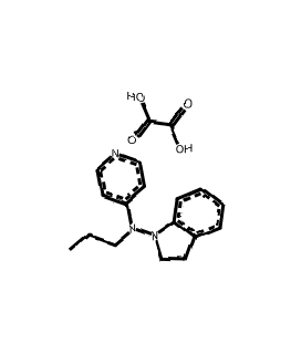 CCCN(c1ccncc1)N1CCc2ccccc21.O=C(O)C(=O)O